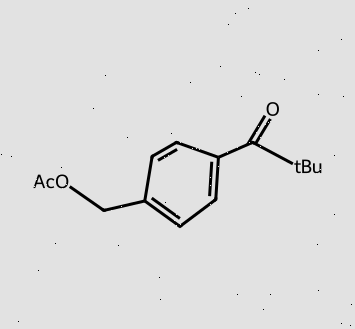 CC(=O)OCc1ccc(C(=O)C(C)(C)C)cc1